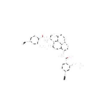 C#Cc1ccc(C(=O)Nc2ccc3ccc4ccc(NC(=O)c5ccc(C#C)cc5C(=O)O)c5ccc2c3c45)c(C(=O)O)c1